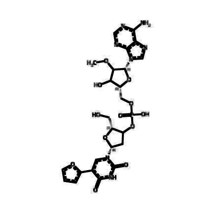 COC1C(O)[C@@H](COP(=O)(O)OC2C[C@H](n3cc(-c4ccco4)c(=O)[nH]c3=O)O[C@@H]2CO)O[C@H]1n1cnc2c(N)ncnc21